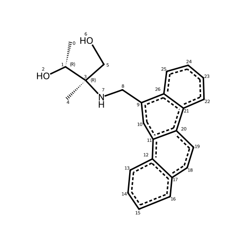 C[C@@H](O)[C@@](C)(CO)NCc1cc2c3ccccc3ccc2c2ccccc12